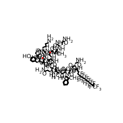 CCCN(C(=O)C([C@@H](C)O)N(C(=O)CNC(=O)[C@H](CC(N)=O)NC(=O)CCC(F)(F)C(F)(F)C(F)(F)C(F)(F)C(F)(F)C(F)(F)C(F)(F)C(F)(F)F)c1[nH]c2ccccc2c1C)[C@@H](C)C(=O)N[C@@H](CCC(N)=O)C(=O)N[C@@H](C)C(=O)N[C@@H](CCSC)C(=O)N[C@@H](CC(C)C)C(=O)N[C@@H](Cc1ccc(O)cc1)C(=O)N[C@@H](CC(C)C)C(=O)N[C@@H](CCCCN)C(=O)NCC(=O)N[C@@H](C)C(=O)N[C@@H](CCC(N)=O)C(N)=O